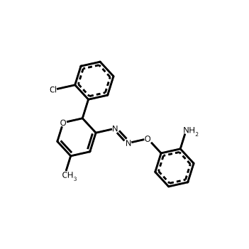 CC1=COC(c2ccccc2Cl)C(N=NOc2ccccc2N)=C1